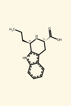 CCC[C@H]1N[C@H](C(=O)O)Cc2c1[nH]c1ccccc21